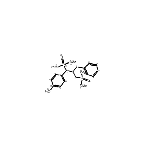 COP(=O)(CN(Cc1ccccc1)C(c1ccc(O)cc1)P(=O)(OC)OC)OC